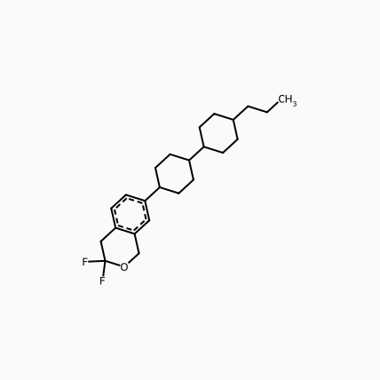 CCCC1CCC(C2CCC(c3ccc4c(c3)COC(F)(F)C4)CC2)CC1